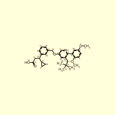 COc1ccc(OC)c(-c2ncc(OCc3cccc(C(CC(=O)O)C4CC4)c3)cc2CC(C)(C)C)c1